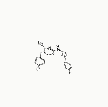 OC1N=C(Nc2ccn(-c3ccc(F)cc3)c2)N=CN1Cc1ccc(Cl)cc1